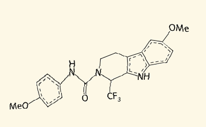 COc1ccc(NC(=O)N2CCc3c([nH]c4ccc(OC)cc34)C2C(F)(F)F)cc1